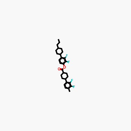 CCCC1CCC(c2ccc(OC(=O)C3CCC(c4ccc(C)c(F)c4F)CC3)c(F)c2F)CC1